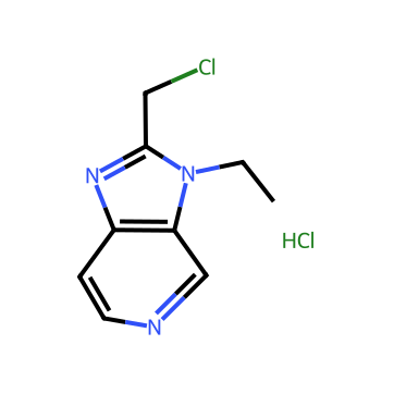 CCn1c(CCl)nc2ccncc21.Cl